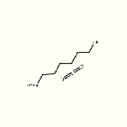 CCCCCCCCCCCCO.O=C=O